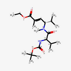 CCOC(=O)/C(C)=C/[C@H](C(C)C)N(C)C(=O)C(NC(=O)OC(C)(C)C)C(C)C